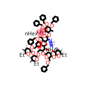 CCCCCCOP(=O)(O)O[C@@H]1C(OCc2ccccc2)[C@H](OCc2ccccc2)C(OCc2ccccc2)C(C)[C@H]1O[C@H]1OC(COCc2ccccc2)[C@@H](O[C@H]2OC(CO[C@H]3OC(CC)[C@@H](C)[C@H](C)C3O[C@H]3OC(CC)[C@@H](C)[C@H](C)C3OCc3ccccc3)[C@@H](O[C@@H]3OC(COCc4ccccc4)[C@H](O[C@H]4OC(CC)[C@@H](C)[C@H](C)C4C)[C@H](C)C3NC(C)=O)[C@H](C)C2C)[C@H](C)C1N=[N+]=[N-]